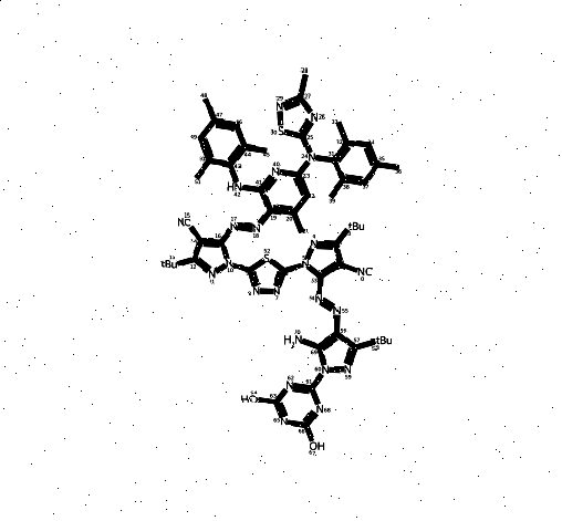 [C-]#[N+]c1c(C(C)(C)C)nn(-c2nnc(-n3nc(C(C)(C)C)c(C#N)c3N=Nc3c(C)cc(N(c4nc(C)ns4)c4c(C)cc(C)cc4C)nc3Nc3c(C)cc(C)cc3C)s2)c1N=Nc1c(C(C)(C)C)nn(-c2nc(O)nc(O)n2)c1N